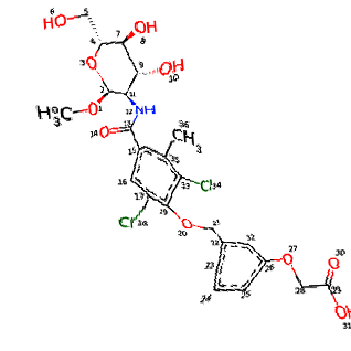 CO[C@H]1O[C@H](CO)[C@@H](O)[C@H](O)[C@H]1NC(=O)c1cc(Cl)c(OCc2cccc(OCC(=O)O)c2)c(Cl)c1C